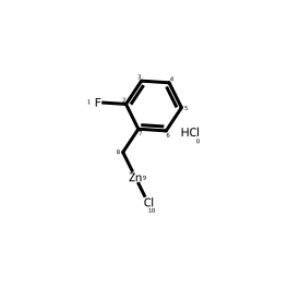 Cl.Fc1ccccc1[CH2][Zn][Cl]